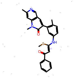 CS/C(=C\C(=O)c1ccccc1)Nc1ccc(C)c(-c2cc3cnc(C)cc3n(C)c2=O)c1